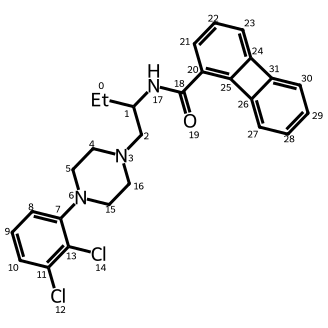 CCC(CN1CCN(c2cccc(Cl)c2Cl)CC1)NC(=O)c1cccc2c1-c1ccccc1-2